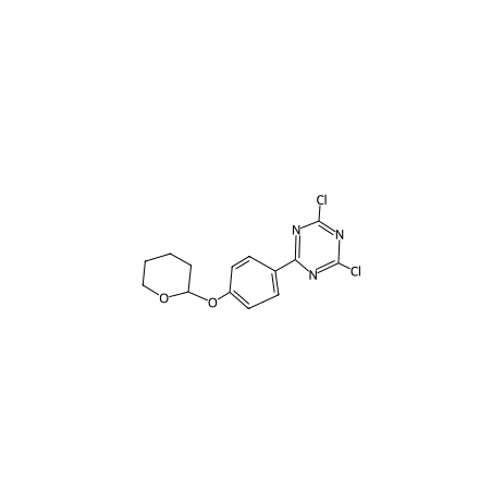 Clc1nc(Cl)nc(-c2ccc(OC3CCCCO3)cc2)n1